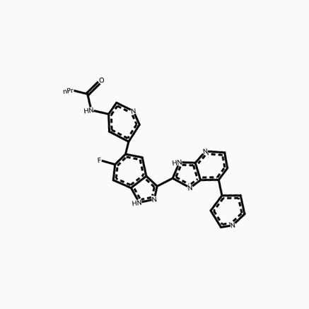 CCCC(=O)Nc1cncc(-c2cc3c(-c4nc5c(-c6ccncc6)ccnc5[nH]4)n[nH]c3cc2F)c1